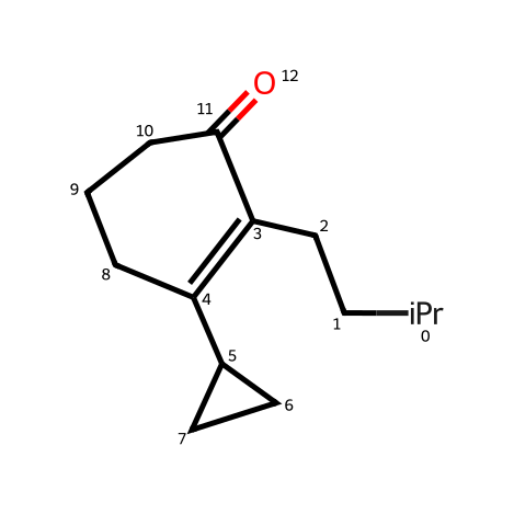 CC(C)CCC1=C(C2CC2)CCCC1=O